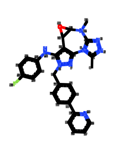 Cc1nnc2n1-c1nn(Cc3ccc(-c4ccccn4)cc3)c(Nc3ccc(F)cc3)c1C1OC1N2C